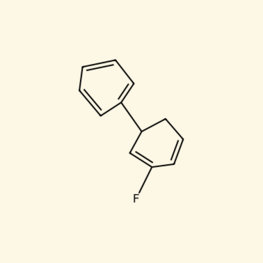 FC1=CC(c2ccccc2)CC=C1